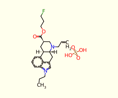 C=CCN1C[C@H](C(=O)OCCCF)C[C@@H]2c3cccc4c3c(cn4CCC)C[C@H]21.O=S(=O)(O)O